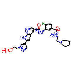 O=C(NCCN1CCCCC1)c1ccc(F)c(NC(=O)c2cnc3[nH]c(-c4cnn(CCO)c4)cc3c2)c1